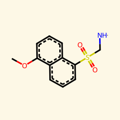 COc1cccc2c(S(=O)(=O)C[NH])cccc12